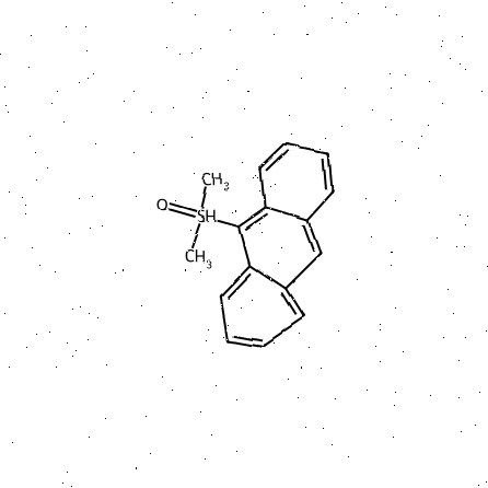 C[SH](C)(=O)c1c2ccccc2cc2ccccc12